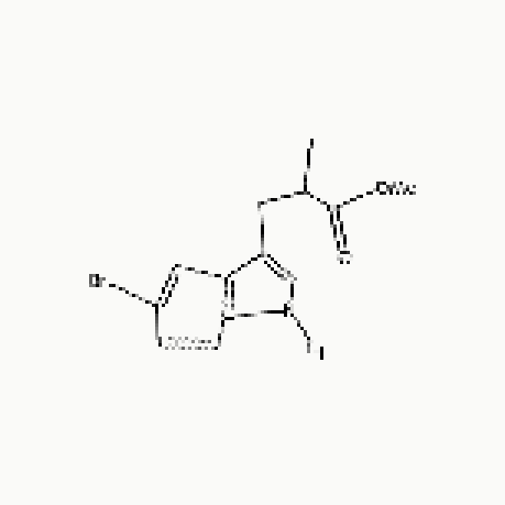 [1H]n1cc(CC(C)C(=O)OC)c2cc(Br)ccc21